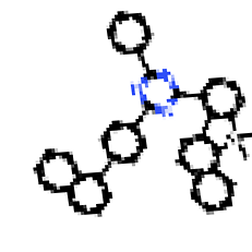 C[Si]1(C)c2cccc(-c3nc(-c4ccccc4)nc(-c4ccc(-c5cccc6ccccc56)cc4)n3)c2-c2ccc3ccccc3c21